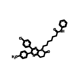 Cc1ccc(-c2nc3c(nc2-c2ccc(Cl)cc2)N(CCCCCCC(=O)Nc2ccccc2)C(=O)CC3)cc1